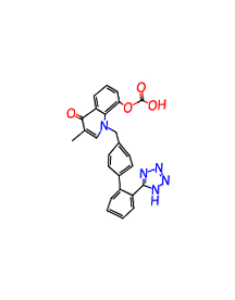 Cc1cn(Cc2ccc(-c3ccccc3-c3nnn[nH]3)cc2)c2c(OC(=O)O)cccc2c1=O